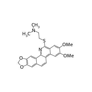 COc1cc2c(SCCN(C)C)nc3c4cc5c(cc4ccc3c2cc1OC)OCO5